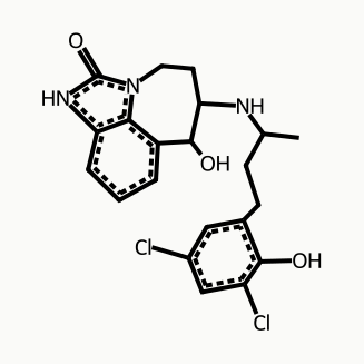 CC(CCc1cc(Cl)cc(Cl)c1O)NC1CCn2c(=O)[nH]c3cccc(c32)C1O